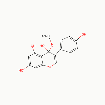 CC(=O)NOC1(O)C(c2ccc(O)cc2)=COc2cc(O)cc(O)c21